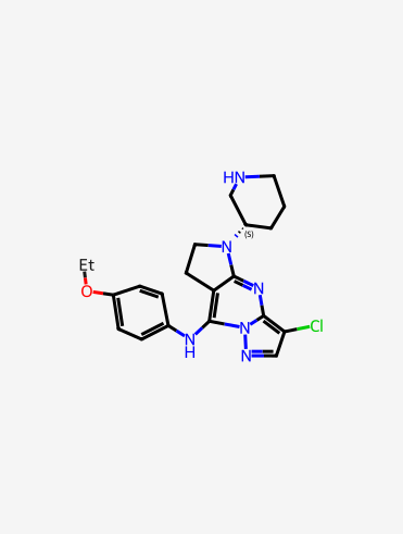 CCOc1ccc(Nc2c3c(nc4c(Cl)cnn24)N([C@H]2CCCNC2)CC3)cc1